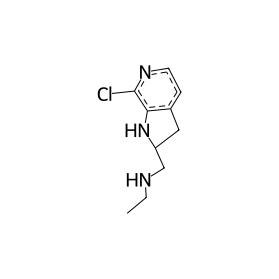 CCNCC1Cc2ccnc(Cl)c2N1